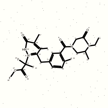 CCN1C(=O)CN(C(=O)c2cc(Cc3c(C)c(C)c(=O)[nH][n+]3C(F)(F)C(=O)OF)ccc2F)CC1C